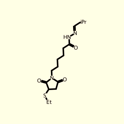 CCSC1CC(=O)N(CCCCCC(=O)N/N=C/C(C)C)C1=O